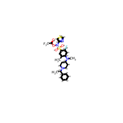 Cc1cc(S(=O)(=O)N(OC(=O)C(F)(F)F)c2cscn2)c(F)cc1N(C)C1CCN([C@H](C)c2ccccc2)CC1